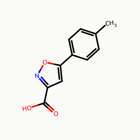 Cc1ccc(-c2cc(C(=O)O)no2)cc1